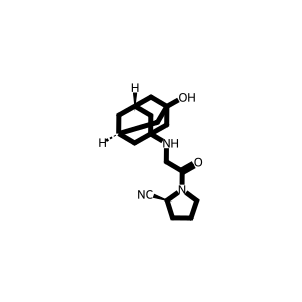 N#C[C@@H]1CCCN1C(=O)CNC12C[C@@H]3C[C@@H](CC(O)(C3)C1)C2